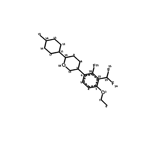 CCOc1ccc(C2CCC(C3CCC(C)CC3)OC2)c(F)c1C(F)F